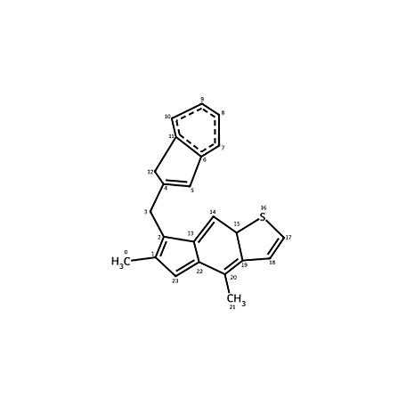 CC1=C(CC2=Cc3ccccc3C2)C2=CC3SC=CC3=C(C)C2=C1